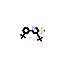 BC(B)(c1cc(-c2cccc(C(C)(C)C)c2)ncc1S(C)(C)C)C(C)(C)C